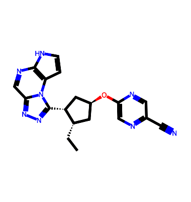 CC[C@H]1C[C@H](Oc2cnc(C#N)cn2)C[C@H]1c1nnc2cnc3[nH]ccc3n12